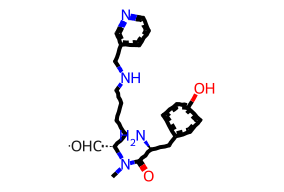 CN(C(=O)[C@@H](N)Cc1ccc(O)cc1)[C@H]([C]=O)CCCCNCc1cccnc1